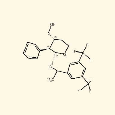 CC(O[C@H]1OCC[C@@H](CO)[C@@H]1c1ccccc1)c1cc(C(F)(F)F)cc(C(F)(F)F)c1